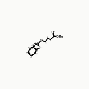 CC(C)COC(=O)CCCSc1nc2ccccc2s1